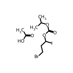 CC(=O)O.CC(C)OC(=O)OC(I)CCBr